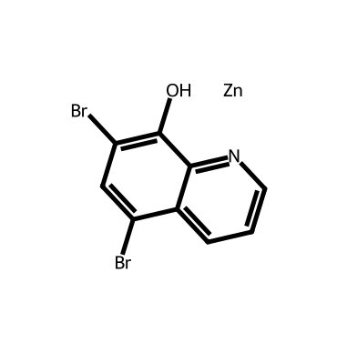 Oc1c(Br)cc(Br)c2cccnc12.[Zn]